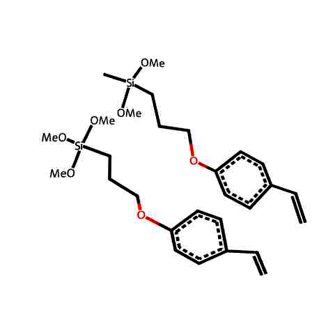 C=Cc1ccc(OCCC[Si](C)(OC)OC)cc1.C=Cc1ccc(OCCC[Si](OC)(OC)OC)cc1